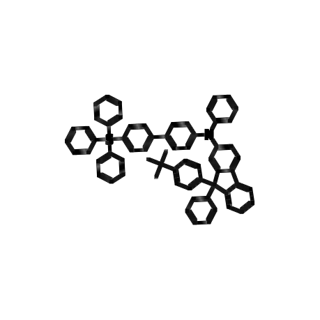 CC(C)(C)c1ccc(C2(c3ccccc3)c3ccccc3-c3ccc(N(c4ccccc4)c4ccc(-c5ccc(S(c6ccccc6)(c6ccccc6)c6ccccc6)cc5)cc4)cc32)cc1